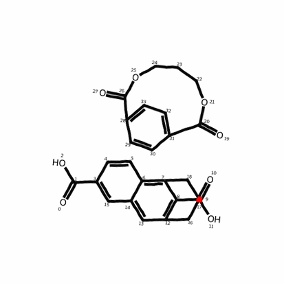 O=C(O)c1ccc2c3c(C(=O)O)c(cc2c1)CCC3.O=C1OCCCOC(=O)c2ccc1cc2